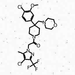 COc1cc(C2(CN3CCOCC3)CCN(C(=O)Cn3nc(C(F)(F)F)c(Cl)c3C)CC2)ccc1Cl